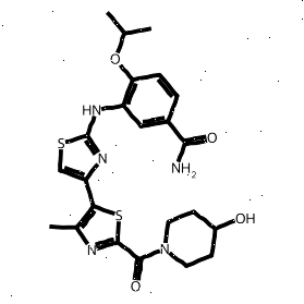 Cc1nc(C(=O)N2CCC(O)CC2)sc1-c1csc(Nc2cc(C(N)=O)ccc2OC(C)C)n1